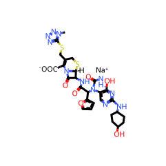 Cn1nnnc1SCC1=C(C(=O)[O-])N2C(=O)C(NC(=O)C(c3ccco3)N(C(N)=O)c3cnc(NC4CCC(O)CC4)nc3O)[C@@H]2SC1.[Na+]